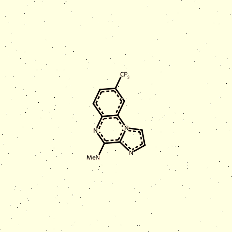 CNc1nc2ccc(C(F)(F)F)cc2n2ccnc12